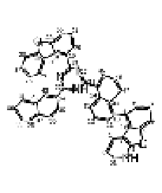 C1=Cc2c(oc3cccc(-c4cccc5c(C6=NC(c7cccc8oc9ccccc9c78)=NC(c7ccc8ccccc8c7)N6)cccc45)c23)NC1